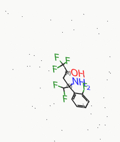 N[C@@](C[C@@H](O)C(F)(F)F)(c1ccccc1F)C(F)F